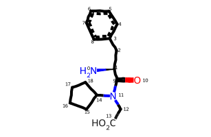 N[C@@H](Cc1ccccc1)C(=O)N(CC(=O)O)C1CCCC1